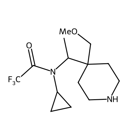 COCC1(C(C)N(C(=O)C(F)(F)F)C2CC2)CCNCC1